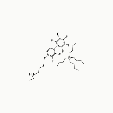 CCCC[B-](CCCC)(CCCC)CCCC.CCCC[NH2+]CC.Fc1ccc(-c2c(F)c(F)c(F)c(F)c2F)c(F)c1F